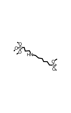 CO[Si](C)(CCCCCCNCCC[Si](OC)(OC)OC)OC